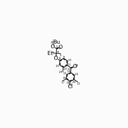 CCC(C)OC(=O)C(C)(CC)Oc1ccc(C(=O)c2cc(C)c(Cl)c(C)c2)c(C)c1